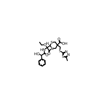 CCOC1(NC(=O)C(O)c2ccccc2)C(=O)N2CC(CSc3nnc(C)s3)(C(=O)O)CS[C@@H]21